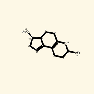 CCCC1CCC2=C(CCC3C2=CC[C@H]3OC(C)=O)O1